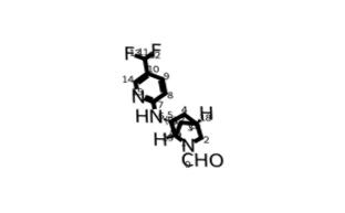 O=CN1C[C@H]2C[C@@H](Nc3ccc(C(F)F)cn3)[C@@H]1C2